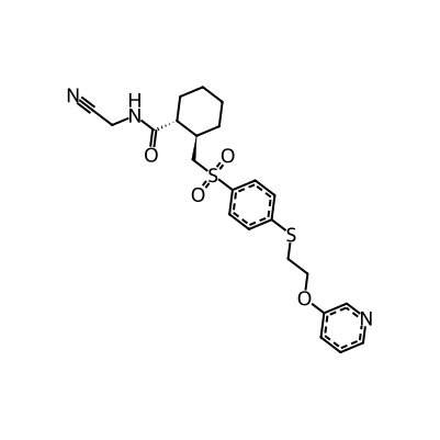 N#CCNC(=O)[C@@H]1CCCC[C@H]1CS(=O)(=O)c1ccc(SCCOc2cccnc2)cc1